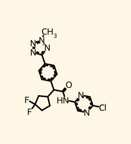 Cn1nnc(-c2ccc(C(C(=O)Nc3cnc(Cl)cn3)C3CCC(F)(F)C3)cc2)n1